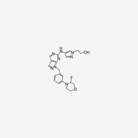 OCCn1cc(Nc2ncc3cnn(Cc4cccc(N5CCOCC5F)c4)c3n2)cn1